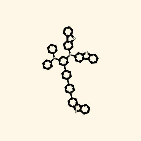 c1ccc(N(c2ccccc2)c2cc(-c3ccc(-c4ccc(-c5ccc6sc7ccccc7c6c5)cc4)cc3)cc(N(c3ccc4c(c3)oc3ccccc34)c3ccc4c(c3)oc3ccccc34)c2)cc1